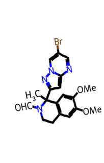 COc1cc2c(cc1OC)C(C)(c1cc3ncc(Br)cn3n1)N(C=O)CC2